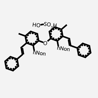 CCCCCCCCCc1c(Oc2ccc(C)c(C=Cc3ccccc3)c2CCCCCCCCC)ccc(C)c1C=Cc1ccccc1.O=S(=O)(O)O